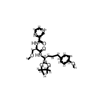 COC[C@@H](NC(=O)c1cnccn1)C(=O)N[C@@H](CCCc1ccc(OC)cc1)B1OC(C)(C)C(C)(C)O1